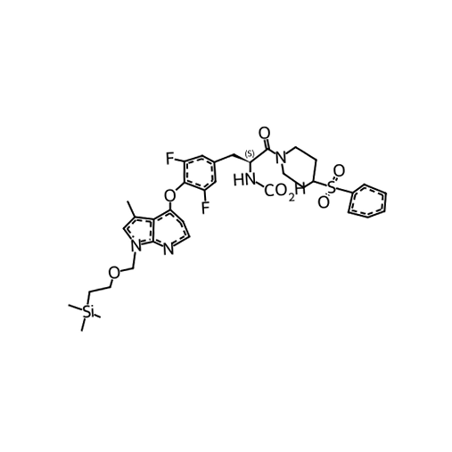 Cc1cn(COCC[Si](C)(C)C)c2nccc(Oc3c(F)cc(C[C@H](NC(=O)O)C(=O)N4CCC(S(=O)(=O)c5ccccc5)CC4)cc3F)c12